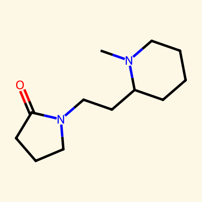 CN1CCCCC1CCN1CCCC1=O